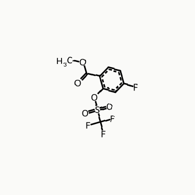 COC(=O)c1ccc(F)cc1OS(=O)(=O)C(F)(F)F